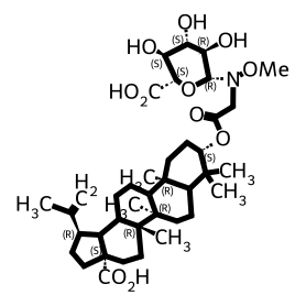 C=C(C)[C@@H]1CC[C@]2(C(=O)O)CC[C@]3(C)C(CCC4[C@@]5(C)CC[C@H](OC(=O)CN(OC)[C@@H]6O[C@H](C(=O)O)[C@@H](O)[C@H](O)[C@H]6O)C(C)(C)C5CC[C@]43C)C12